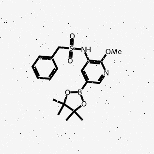 COc1ncc(B2OC(C)(C)C(C)(C)O2)cc1NS(=O)(=O)Cc1ccccc1